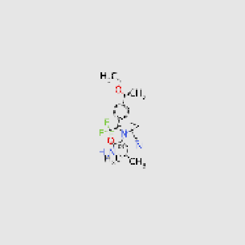 C=C(OCC)c1ccc([C@H](N([C@@H](CC(C)C)C(N)=O)C2(C#N)CC2)C(F)(F)F)cc1